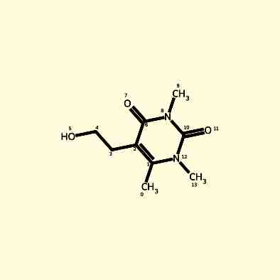 Cc1c(CCO)c(=O)n(C)c(=O)n1C